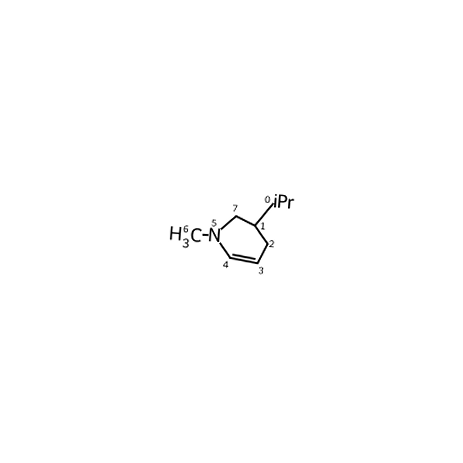 CC(C)C1CC=CN(C)C1